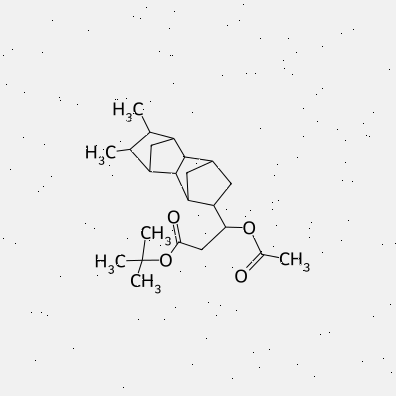 CC(=O)OC(CC(=O)OC(C)(C)C)C1CC2CC1C1C3CC(C(C)C3C)C21